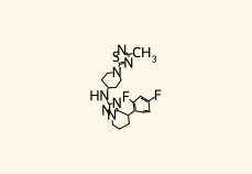 Cc1nsc(N2CCC(Nc3nc4n(n3)CCCC4c3ccc(F)cc3F)CC2)n1